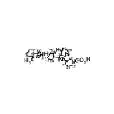 Cc1ccccc1S(=O)(=O)NCc1ccc(-c2nn([C@@H]3CCCN(C(=O)O)C3)c3ncnc(N)c23)cc1